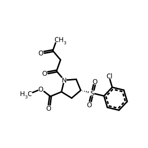 COC(=O)C1C[C@@H](S(=O)(=O)c2ccccc2Cl)CN1C(=O)CC(C)=O